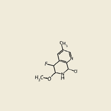 COC1NC(Cl)c2ncc(C)cc2C1F